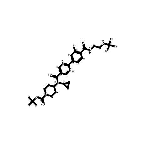 CC(C)(C)OC(=O)N1CCC(N(C(=O)c2cnc(-c3ccc(C(=O)NCCOC(F)(F)F)c(F)c3)nc2)C2CC2)CC1